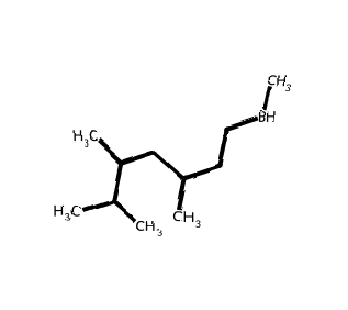 CBCCC(C)CC(C)C(C)C